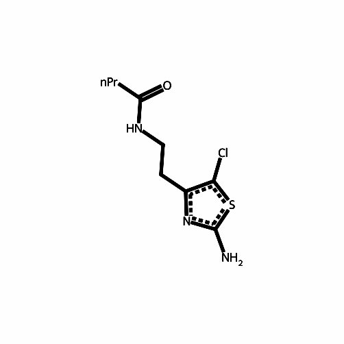 CCCC(=O)NCCc1nc(N)sc1Cl